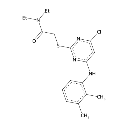 CCN(CC)C(=O)CSc1nc(Cl)cc(Nc2cccc(C)c2C)n1